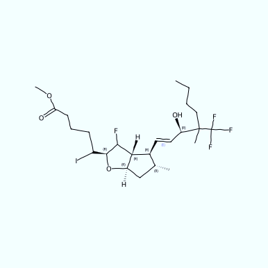 CCCCC(C)([C@H](O)/C=C/[C@@H]1[C@H]2C(F)[C@H](C(I)CCCC(=O)OC)O[C@@H]2C[C@H]1C)C(F)(F)F